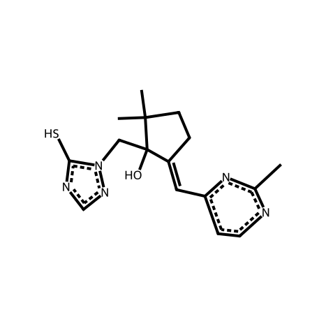 Cc1nccc(/C=C2\CCC(C)(C)C2(O)Cn2ncnc2S)n1